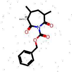 CC1CC(C)[C@@H](C)C(=O)N(C(=O)OCc2ccccc2)C1=O